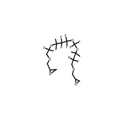 CC(C)(OC(F)(F)OC(F)(F)C(F)(F)C(C)(C)OC(F)(F)COCC1CO1)C(F)(F)COCC1CO1